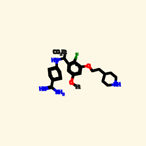 CCOC(=O)C(Nc1ccc(C(=N)N)cc1)c1cc(OCC)cc(OCCC2CCNCC2)c1F